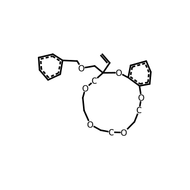 C=CC1(COCc2ccccc2)COCCOCCOCCOc2ccccc2O1